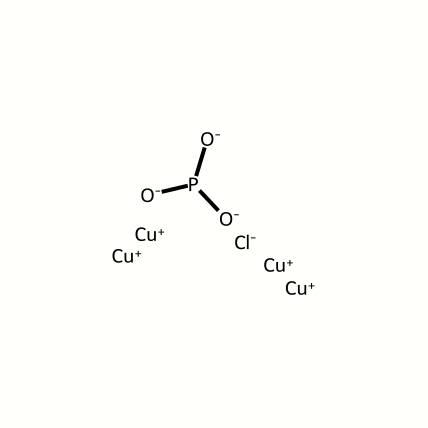 [Cl-].[Cu+].[Cu+].[Cu+].[Cu+].[O-]P([O-])[O-]